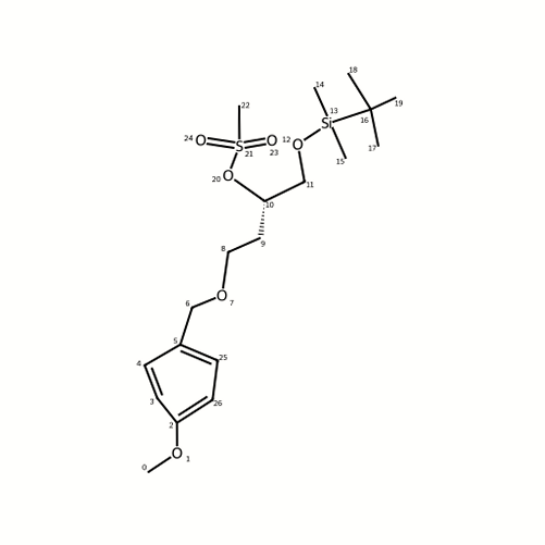 COc1ccc(COCC[C@@H](CO[Si](C)(C)C(C)(C)C)OS(C)(=O)=O)cc1